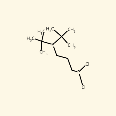 CC(C)(C)P(CCCP(Cl)Cl)C(C)(C)C